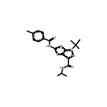 Cc1ccc(C(=O)Nc2nc3c(s2)c(C(=O)NC(C)C)nn3C(C)(C)C)cc1